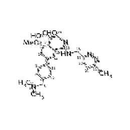 COc1cc(-c2ccc(CN(C)C)cc2)cc2c(NCc3ccc(C)nn3)ncnc12.O=CO